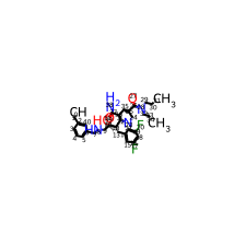 C#Cc1cccc(CNC[C@H](O)[C@@H](Cc2cc(F)cc(F)c2)c2ncc(C(=O)N(CCC)CCC)cc2C(N)=O)c1